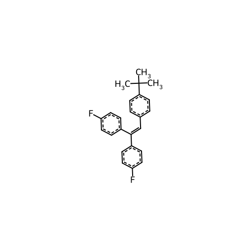 CC(C)(C)c1ccc(C=C(c2ccc(F)cc2)c2ccc(F)cc2)cc1